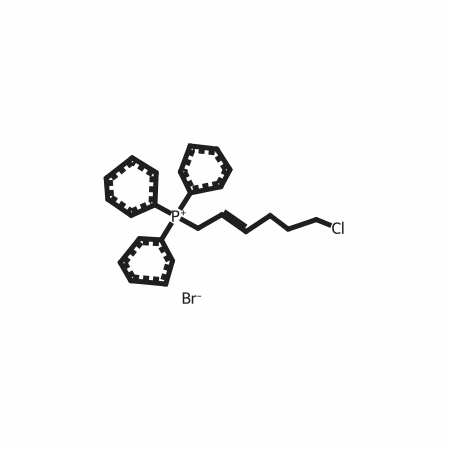 ClCCCC=CC[P+](c1ccccc1)(c1ccccc1)c1ccccc1.[Br-]